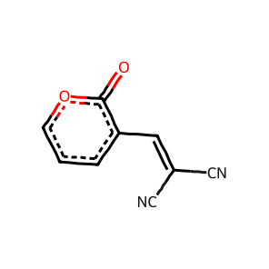 N#CC(C#N)=Cc1cccoc1=O